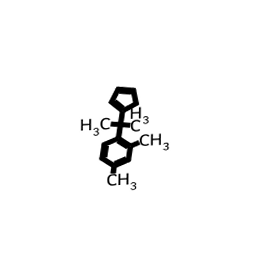 Cc1ccc(C(C)(C)C2=CC=CC2)c(C)c1